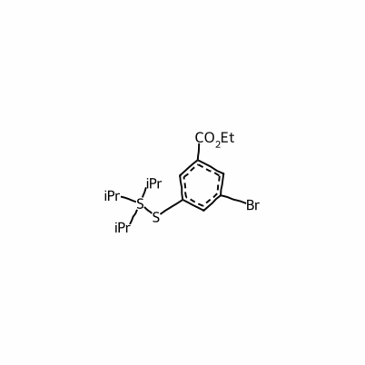 CCOC(=O)c1cc(Br)cc(SS(C(C)C)(C(C)C)C(C)C)c1